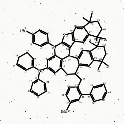 CC(C)(C)c1ccc(N2c3cc(N(C4=CCCC=C4)c4ccccc4)cc4c3B(c3cc5c(cc3C(Cc3ccc(C(C)(C)C)cc3-c3ccccc3)C4)C(C)(C)CCC5(C)C)c3c2sc2cc4c(cc32)C(C)(C)CCC4(C)C)cc1